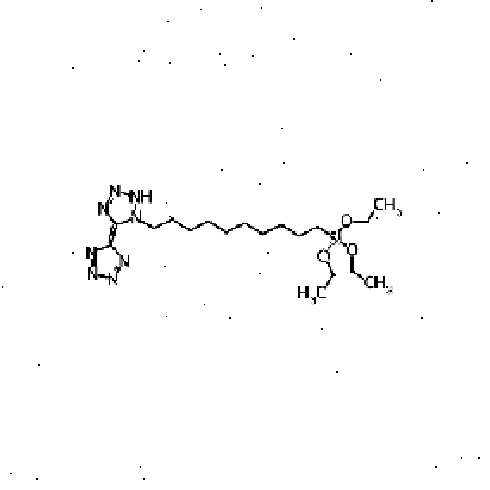 CCO[Si](CCCCCCCCCCN1NN=NC1=C1N=NN=N1)(OCC)OCC